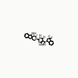 N[C@@H]1c2ccccc2CC12CCN(c1nc3[nH]nc([C@H]4CC(F)(F)c5ccccc54)c3c(=O)[nH]1)CC2